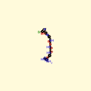 CN1CCc2cc(Br)c(O)cc2[C@@H](c2ccc(/N=N/c3ccc(CCNC(=O)CCOCCNC(=O)CCCC(=O)NCc4ccc(COc5nc(N)nc6[nH]cnc56)cc4)cc3)cc2)C1